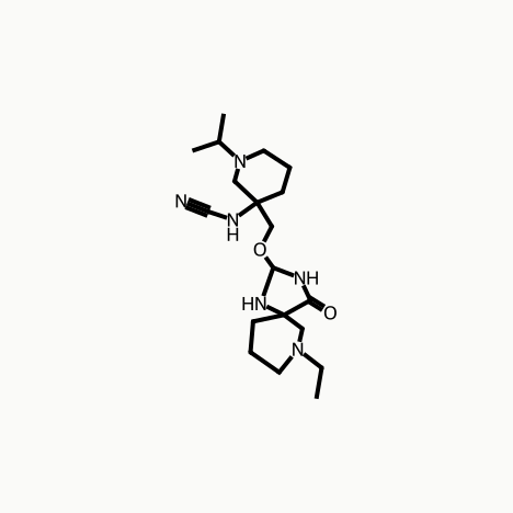 CCN1CCCC2(C1)NC(OCC1(NC#N)CCCN(C(C)C)C1)NC2=O